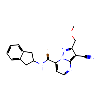 COCc1nn2c(C(=S)NC3Cc4ccccc4C3)ccnc2c1C#N